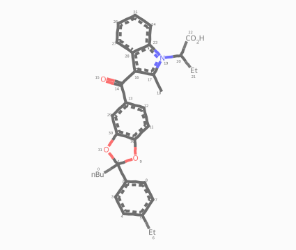 CCCCC1(c2ccc(CC)cc2)Oc2ccc(C(=O)c3c(C)n(C(CC)C(=O)O)c4ccccc34)cc2O1